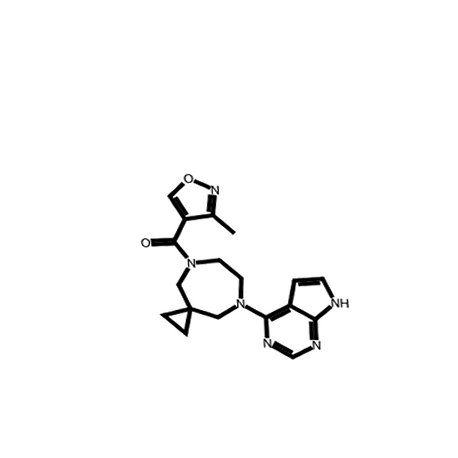 Cc1nocc1C(=O)N1CCN(c2ncnc3[nH]ccc23)CC2(CC2)C1